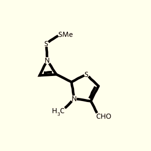 CSSN1C=C1C1SC=C(C=O)N1C